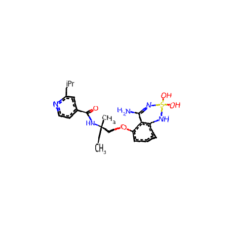 CC(C)c1cc(C(=O)NC(C)(C)COc2cccc3c2C(N)=NS(O)(O)N3)ccn1